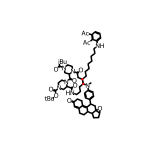 CCC(C)C(=O)N1CCN(C(=O)CCCN(C)c2ccc(C3CC45OC4CCC5C4CCC5=CC(=O)CCC5=C34)cc2)C(C(=O)N2CCN(C(=O)OC(C)(C)C)CC2C(=O)NCCCCCCCCCCCCCNc2cccc(C(C)=O)c2C(C)=O)C1